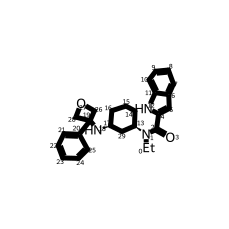 CCN(C(=O)c1cc2ccccc2[nH]1)[C@H]1CCC[C@@H](NC2(c3ccccc3)COC2)C1